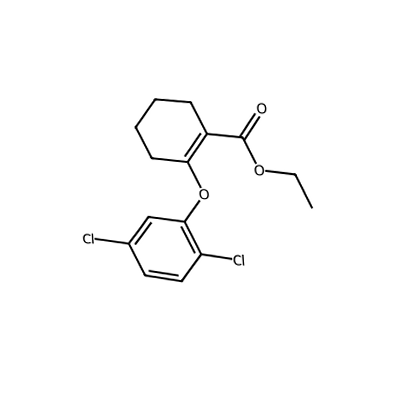 CCOC(=O)C1=C(Oc2cc(Cl)ccc2Cl)CCCC1